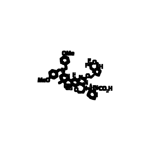 COc1ccc(CN(Cc2ccc(OC)cc2)c2cc(C)c(C(F)(F)F)c(-c3c(Cl)c4c5c(nc(OC[C@@H]6CC[C@H]7COC(F)(F)CN67)nc5c3F)N([C@H](C)c3cccnc3NC(=O)O)CCO4)n2)cc1